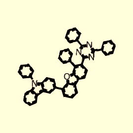 c1ccc(-c2nc(-c3ccccc3)nc(-c3ccc4c(oc5c(-c6ccc7c(c6)c6ccccc6n7-c6ccccc6)cccc54)c3-c3ccccc3)n2)cc1